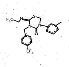 Cc1cccc(N2CS/C(=N/CC(F)(F)F)N(Cc3ccc(C(F)(F)F)cc3)C2=O)c1